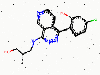 C[C@H](CO)CNc1nnc(-c2ccc(Cl)cc2O)c2ccncc12